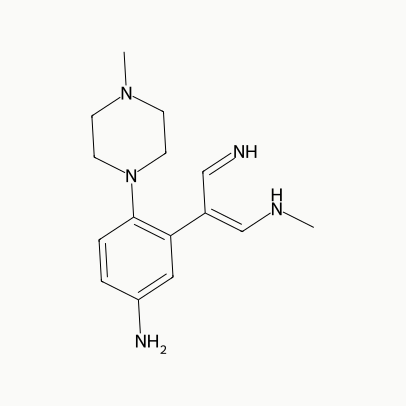 CN/C=C(\C=N)c1cc(N)ccc1N1CCN(C)CC1